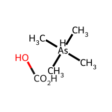 C[AsH](C)(C)C.O=C(O)O